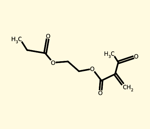 C=C(C(C)=O)C(=O)OCCOC(=O)CC